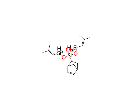 CC(C)=C[SiH2]O[Si](O)(O[SiH2]C=C(C)C)C1CC2C=CC1C2